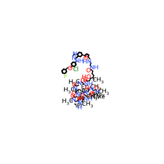 CC[C@H](NC(=O)C[C@H](O)[C@H](C)CCCC(=O)NCCNCc1ccc(-c2ccc3ncnc(Nc4ccc(OCc5cccc(F)c5)c(Cl)c4)c3c2)o1)C(=O)N(C)CC(=O)N(C)[C@@H](CC(C)C)C(=O)N[C@H](C(=O)N(C)[C@@H](CC(C)C)C(=O)N[C@@H](C)C(=O)N[C@H](C)C(=O)N(C)[C@@H](CC(C)C)C(=O)N(C)[C@@H](CC(C)C)C(=O)N(C)[C@H](C(=O)NC)C(C)C)C(C)C